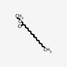 CCCCCCCC/C=C/CCCCCCC(Cl)COCCC